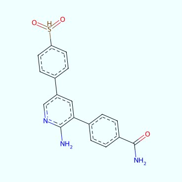 NC(=O)c1ccc(-c2cc(-c3ccc([SH](=O)=O)cc3)cnc2N)cc1